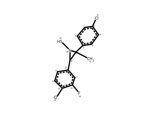 CC1(c2ccc(Cl)cc2)C(c2ccc(Cl)c(F)c2)N1S